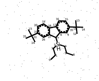 CCC[SiH](CCC)C1c2cc(C(C)(C)C)ccc2-c2ccc(C(C)(C)C)cc21